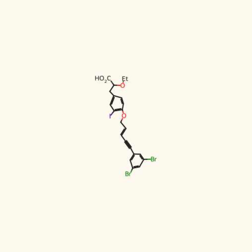 CCOC(Cc1ccc(OCC=CC#Cc2cc(Br)cc(Br)c2)c(I)c1)C(=O)O